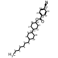 CCCCCCCC1CCC(C2CCC(OC(=O)c3ccc(C#N)cc3)CC2)CC1